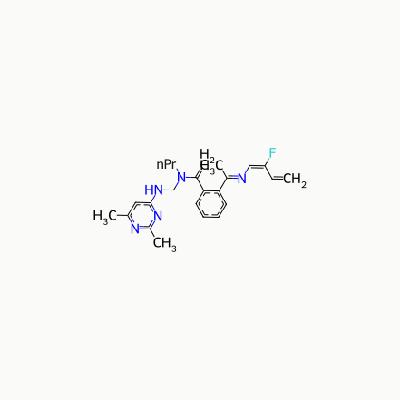 C=C/C(F)=C\N=C(/C)c1ccccc1C(=C)N(CCC)CNc1cc(C)nc(C)n1